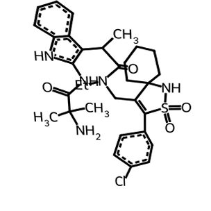 CCN(CC1=C(c2ccc(Cl)cc2)S(=O)(=O)NC12CCCCC2)C(=O)C(C)c1c(NC(=O)C(C)(C)N)[nH]c2ccccc12